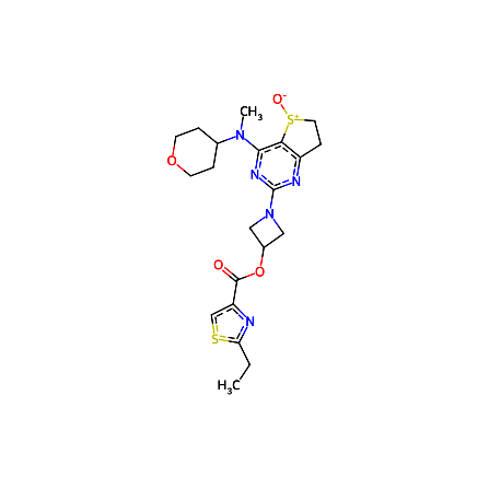 CCc1nc(C(=O)OC2CN(c3nc4c(c(N(C)C5CCOCC5)n3)[S+]([O-])CC4)C2)cs1